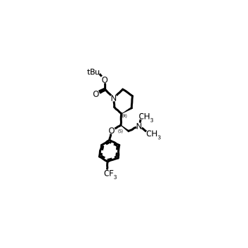 CN(C)C[C@@H](Oc1ccc(C(F)(F)F)cc1)[C@@H]1CCCN(C(=O)OC(C)(C)C)C1